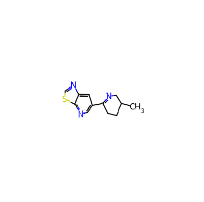 CC1CCC(c2cnc3scnc3c2)=NC1